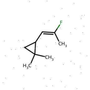 C/C(F)=C\C1[CH]C1(C)C